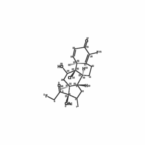 CC(=O)O[C@]1(C(=O)CF)C(C)C[C@H]2[C@@H]3CCC4=C(F)C(=O)C=C[C@]4(C)[C@@]3(Cl)C(O)C[C@@]21C